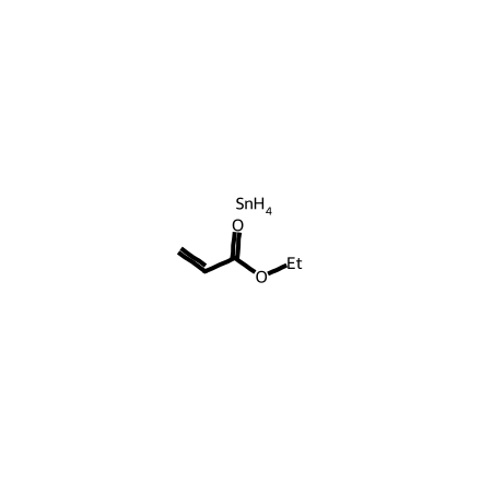 C=CC(=O)OCC.[SnH4]